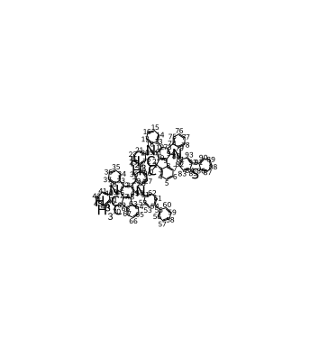 CC1(C)c2ccccc2-c2c1c1c(c3ccccc3n1-c1cccc(-c3ccc4c(c3)c3c5c6ccccc6n(-c6ccccc6)c5c5c(c3n4-c3ccc(-c4ccccc4)cc3)-c3ccccc3C5(C)C)c1)c1c3ccccc3n(-c3ccc4sc5ccccc5c4c3)c21